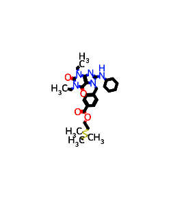 CCn1c(=O)c2c(nc(NC3CCCCC3)n2Cc2ccc(C(=O)OCCS(C)(C)C)cc2)n(CC)c1=O